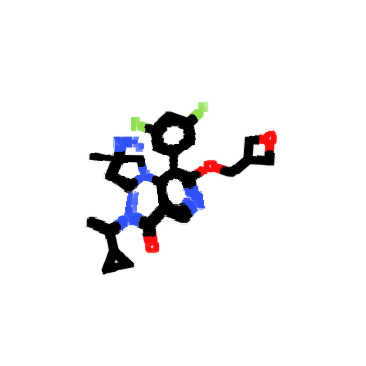 CC(NC(=O)c1cnc(OCC2COC2)c(-c2cc(F)cc(F)c2)c1N1CC[C@](C)(N)C1)C1CC1